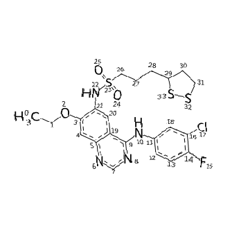 CCOc1cc2ncnc(Nc3ccc(F)c(Cl)c3)c2cc1NS(=O)(=O)CCCC1CCSS1